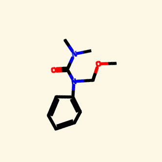 COCN(C(=O)N(C)C)c1ccccc1